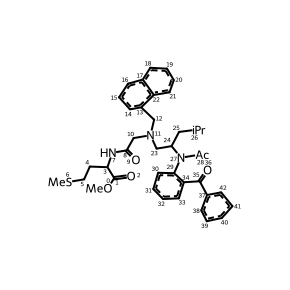 COC(=O)C(CCSC)NC(=O)CN(Cc1cccc2ccccc12)CC(CC(C)C)N(C(C)=O)c1ccccc1C(=O)c1ccccc1